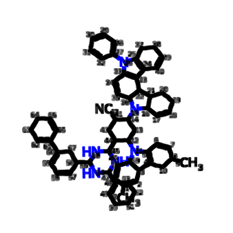 CC1=CC2C3=C(C=CC(C)C3)N(C3CC(N4C5C=CCCC5C5c6c7c(n(-c8ccccc8)c6C=CC54)CCC=C7)C(C#N)CC3C3NC(C4=CCCCC4)NC(C4C=CC=C(C5=CCCC=C5)C4)N3)C2C=C1